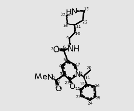 CNC(=O)c1cc(C(=O)NCCC2CCNCC2)cn(C(C)c2ccccc2)c1=O